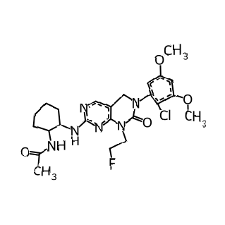 COc1cc(OC)c(Cl)c(N2Cc3cnc(NC4CCCCC4NC(C)=O)nc3N(CCF)C2=O)c1